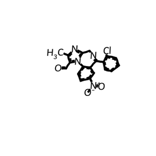 Cc1nc2n(c1C=O)-c1ccc([N+](=O)[O-])cc1C(c1ccccc1Cl)=NC2